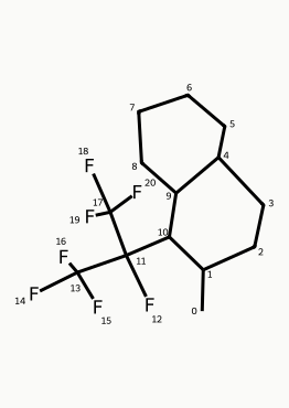 CC1CCC2CCCCC2C1C(F)(C(F)(F)F)C(F)(F)F